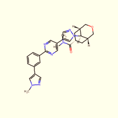 CN(C)C(=O)[C@H]1C[C@H]2COC[C@@H](C1)[C@@H]2n1cc(-c2cnc(-c3cccc(-c4cnn(C)c4)c3)nc2)cn1